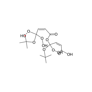 CC(C)(C)OC(/C=C\C(=O)OC(/C=C\C(=O)O)(OO)OC(C)(C)C)(OO)OO